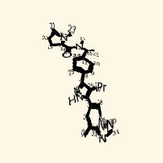 Cc1cc(-c2[nH]nc(-c3ccc([C@H](C)N(C)C(=O)C4CCCN4C)cc3)c2C(C)C)cn2ncnc12